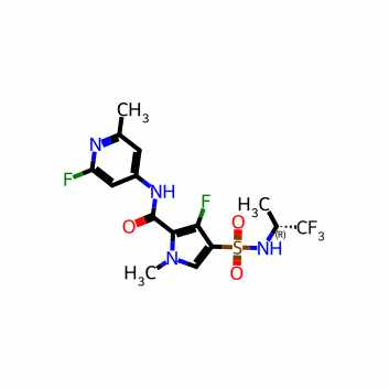 Cc1cc(NC(=O)c2c(F)c(S(=O)(=O)N[C@H](C)C(F)(F)F)cn2C)cc(F)n1